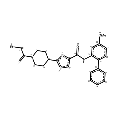 CCNC(=S)N1CCC(c2nc(C(=O)Nc3cc(OC)ccc3-c3ccccc3)cs2)CC1